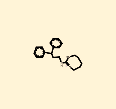 c1ccc(C(CCN/C2=N/CCCCCN2)c2ccccc2)cc1